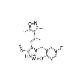 C=Nc1[nH]cc(Cc2cc(F)cnc2OC)c1/C=C(\C)c1c(C)noc1C